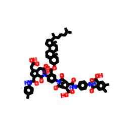 Cc1ccc(NC(=O)C2CC(CC(=O)O)C(CC(=O)O)C2C(=O)Nc2ccc(N3C(=O)C4CC(C3=O)C(C(=O)Nc3ccc(NC(=O)c5cc(C)c(C)cc5C(=O)O)cc3)C4C(=O)O)cc2C(=O)OC2CCC3(C)C(=CCC4C3CCC3(C)C(C(C)CCCC(C)C)CCC43)C2)cc1